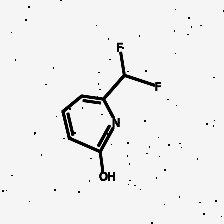 Oc1cccc(C(F)F)n1